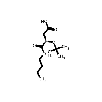 CCCCOC(=O)N(CC(=O)O)OC(C)(C)C